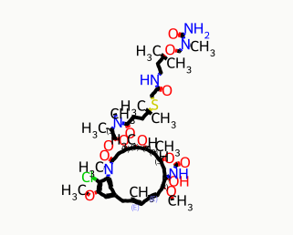 COc1cc2cc(c1Cl)N(C)C(=O)C[C@H](OC(=O)[C@H](C)N(C)C(=O)CCC(C)(C)SCC(=O)NCCC(C)(C)OCN(C)C(N)=O)[C@]1(C)O[C@H]1[C@H](C)[C@@H]1C[C@@](O)(NC(=O)O1)[C@H](OC)/C=C/C=C(\C)C2